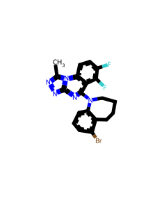 Cc1nnc2nc(N3CCCCc4c(Br)cccc43)c3c(F)c(F)ccc3n12